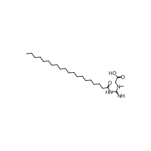 CCCCCCCCCCCCCCCCCCCC(=O)NC(=N)N(C)CC(=O)O